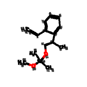 C=Cc1ccccc1C(C)CO[Si](C)(C)OC